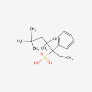 CCC(c1ccccc1)(C(C)(C)CC(C)(C)C)S(=O)(=O)O